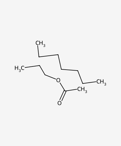 CCCCCCC.CCCOC(C)=O